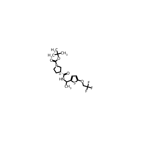 CC(NC(=O)[C@@H]1CCN(C(=O)OC(C)(C)C)C1)c1ccc(OCC(F)(F)F)s1